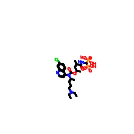 CCN(CC)CCCC(C)N(C(=O)OC(C)CC(C)C(=O)NC(P(=O)(O)O)P(=O)(O)O)c1ccnc2cc(Cl)ccc12